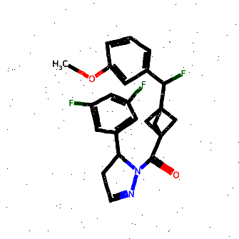 COc1cccc(C(F)C23CC(C(=O)N4N=CCC4c4cc(F)cc(F)c4)(C2)C3)c1